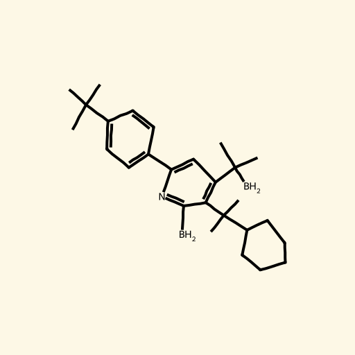 Bc1nc(-c2ccc(C(C)(C)C)cc2)cc(C(B)(C)C)c1C(C)(C)C1CCCCC1